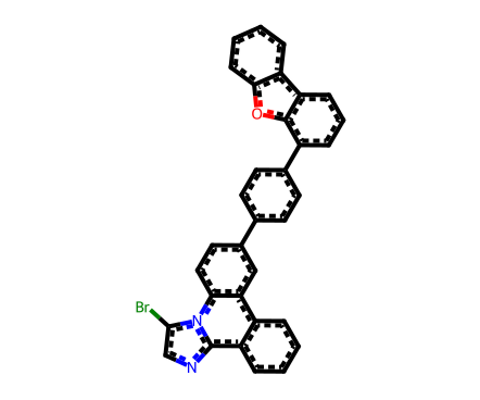 Brc1cnc2c3ccccc3c3cc(-c4ccc(-c5cccc6c5oc5ccccc56)cc4)ccc3n12